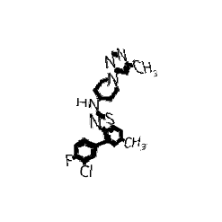 Cc1cc(-c2ccc(F)c(Cl)c2)c2nc(NC3CCN(c4cc(C)ncn4)CC3)sc2c1